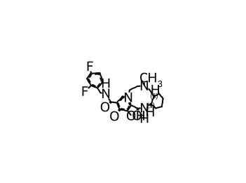 CN1CCn2cc(C(=O)NCc3ccc(F)cc3F)c(=O)c(O)c2C(=O)N[C@H]2CCCC[C@H]2C1